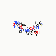 Cc1ncsc1-c1ccc(C2(NC(=O)[C@@H]3C[C@@H](O)CN3C(=O)[C@@H](NC(=O)CCCCc3ccc(CO[C@H](C)[C@H](CCC(N)=O)NC(=O)[C@@H]4Cc5cccc6c5N4C(=O)CCC6)cc3)C(C)(C)C)CC2)cc1